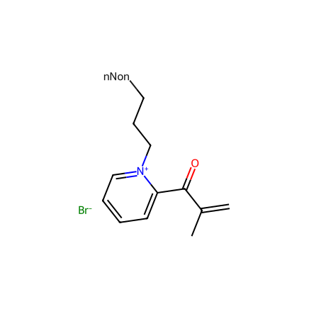 C=C(C)C(=O)c1cccc[n+]1CCCCCCCCCCCC.[Br-]